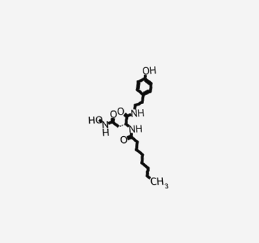 CCCCCCCC(=O)N[C@H](CC(=O)NO)C(=O)NCCc1ccc(O)cc1